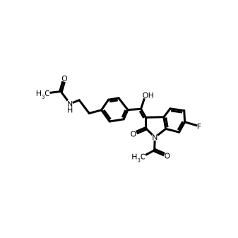 CC(=O)NCCc1ccc(C(O)=C2C(=O)N(C(C)=O)c3cc(F)ccc32)cc1